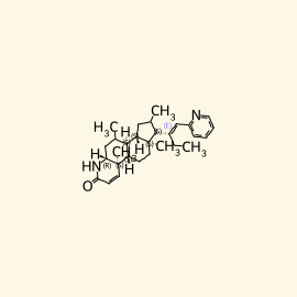 CC/C(=C\c1ccccn1)[C@H]1C(C)C[C@H]2[C@@H]3C(C)C[C@H]4NC(=O)C=C[C@]4(C)[C@H]3CC[C@]12C